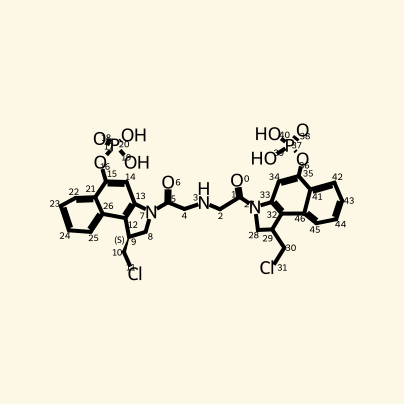 O=C(CNCC(=O)N1C[C@@H](CCl)c2c1cc(OP(=O)(O)O)c1ccccc21)N1CC(CCl)c2c1cc(OP(=O)(O)O)c1ccccc21